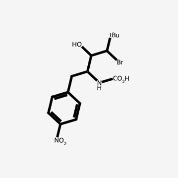 CC(C)(C)C(Br)C(O)C(Cc1ccc([N+](=O)[O-])cc1)NC(=O)O